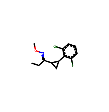 CCC(=NOC)C1CC1c1c(F)cccc1Cl